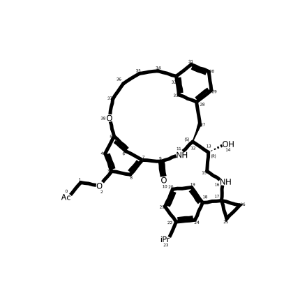 CC(=O)COc1cc2cc(c1)C(=O)N[C@H]([C@H](O)CNC1(c3cccc(C(C)C)c3)CC1)Cc1cccc(c1)CCCCO2